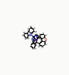 c1ccc(-c2nc(-c3cccc4oc5cccc(-c6cccc7ccccc67)c5c34)nc(-n3c4ccccc4c4ccccc43)n2)cc1